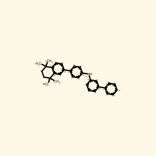 CC1(C)CCC(C)(C)c2cc(-c3ccc(Nc4cccc(-c5ccccc5)c4)cc3)ccc21